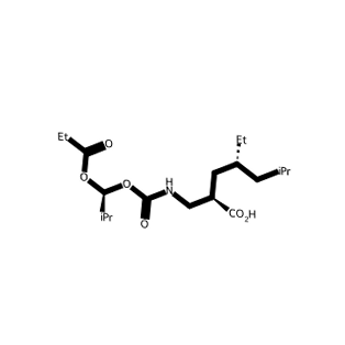 CCC(=O)O[C@@H](OC(=O)NC[C@@H](C[C@H](CC)CC(C)C)C(=O)O)C(C)C